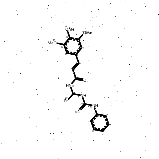 COc1cc(C=CC(=O)NC(NC(=S)Nc2ccccc2)C(C)C)cc(OC)c1OC